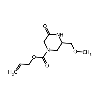 C=CCOC(=O)N1CC(=O)NC(COC)C1